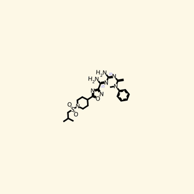 C=C(/N=C(N)\N=C(/N)c1noc(C2CCN(S(=O)(=O)CC(C)C)CC2)n1)N(C)c1ccccc1